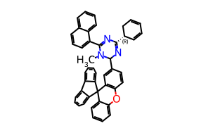 CN1C(c2cccc3ccccc23)=NC([C@H]2C=CC=CC2)=NC1c1ccc2c(c1)C1(c3ccccc3O2)c2ccccc2-c2ccccc21